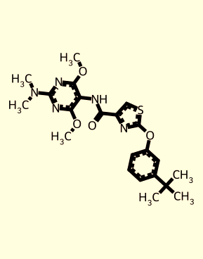 COc1nc(N(C)C)nc(OC)c1NC(=O)c1csc(Oc2cccc(C(C)(C)C)c2)n1